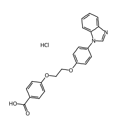 Cl.O=C(O)c1ccc(OCCOc2ccc(-n3cnc4ccccc43)cc2)cc1